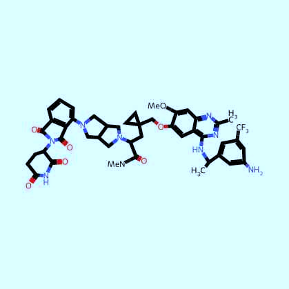 CNC(=O)C(CC1(COc2cc3c(NC(C)c4cc(N)cc(C(F)(F)F)c4)nc(C)nc3cc2OC)CC1)N1CC2CN(c3cccc4c3C(=O)N(C3CCC(=O)NC3=O)C4=O)CC2C1